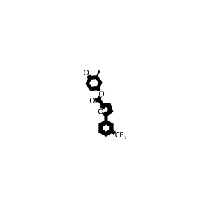 C[C@H]1CC(OC(=O)c2ccc(-c3cccc(C(F)(F)F)c3)o2)=CCC1=O